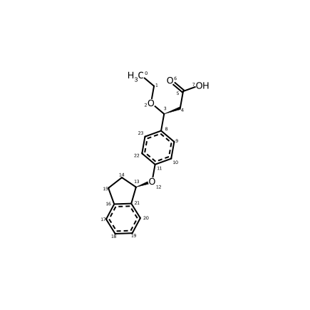 CCO[C@@H](CC(=O)O)c1ccc(O[C@@H]2CCc3ccccc32)cc1